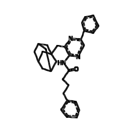 O=C(CCCc1ccccc1)Nc1ncc(-c2ccccc2)nc1CC12CC3CC(CC(C3)C1)C2